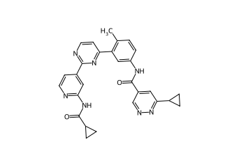 Cc1ccc(NC(=O)c2cnnc(C3CC3)c2)cc1-c1ccnc(-c2ccnc(NC(=O)C3CC3)c2)n1